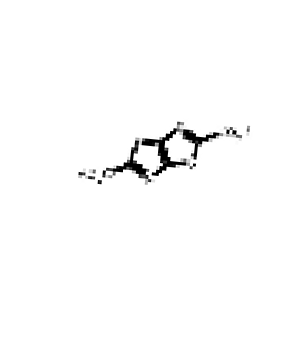 O=C(O)c1nc2sc(C(=O)O)nc2s1